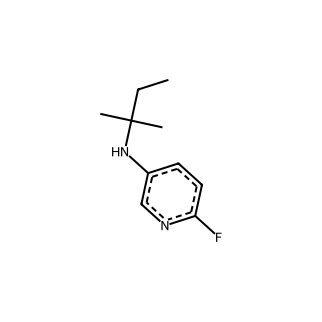 CCC(C)(C)Nc1ccc(F)nc1